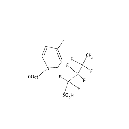 CCCCCCCCN1C=CC(C)=CC1.O=S(=O)(O)C(F)(F)C(F)(F)C(F)(F)C(F)(F)F